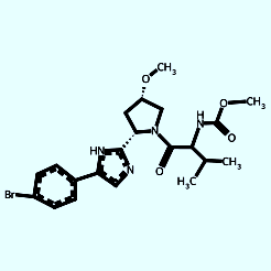 COC(=O)NC(C(=O)N1C[C@@H](OC)C[C@H]1c1ncc(-c2ccc(Br)cc2)[nH]1)C(C)C